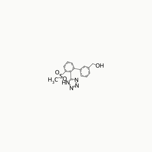 CS(=O)(=O)c1cccc(-c2cccc(CO)c2)c1-c1nnn[nH]1